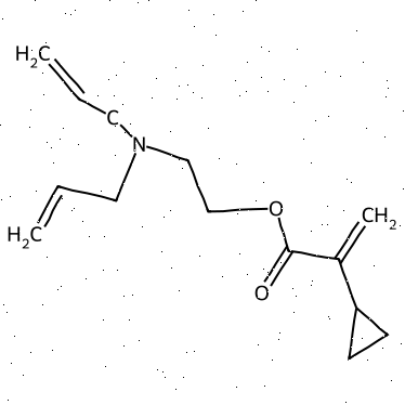 C=CCN(CC=C)CCOC(=O)C(=C)C1CC1